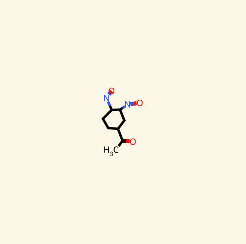 CC(=O)C1CCC(N=O)C(N=O)C1